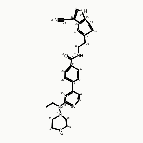 CCN(c1nccc(-c2ccc(C(=O)NCCc3ccc4[nH]cc(C#N)c4c3)cc2)n1)N1CCOCC1